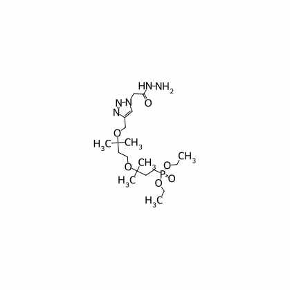 CCOP(=O)(CCC(C)(C)OCCC(C)(C)OCc1cn(CC(=O)NN)nn1)OCC